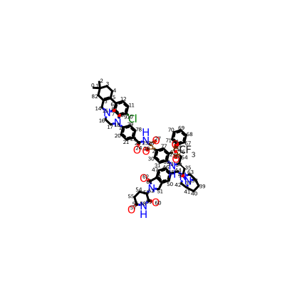 CC1(C)CCC(c2ccc(Cl)cc2)=C(CN2CCN(c3ccc(C(=O)NS(=O)(=O)c4ccc(N[C@H](CCN5C6CCC5CN(Cc5ccc7c(c5)CN(C5CCC(=O)NC5=O)C7=O)C6)CSc5ccccc5)c(S(=O)(=O)C(F)(F)F)c4)cc3)CC2)C1